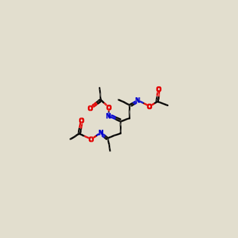 CC(=O)ON=C(C)CC(CC(C)=NOC(C)=O)=NOC(C)=O